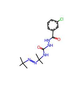 CC(C)(C)N=NC(C)(C)NC(=O)NNC(=O)c1cccc(Cl)c1